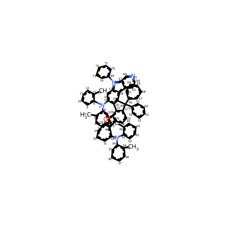 Cc1ccccc1N(c1ccccc1C)c1cc2c(c3c1-c1c(ccc4c1oc1cccc(N(c5ccccc5C)c5ccccc5C)c14)C3(c1ccccc1)c1ccccc1)c1ccncc1n2-c1ccccc1